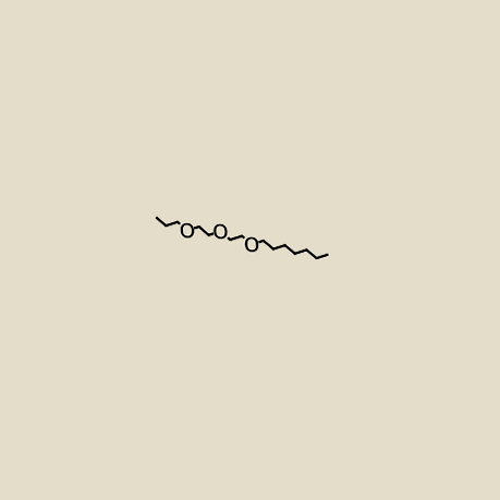 CCCCCCCOCCOCCOCCC